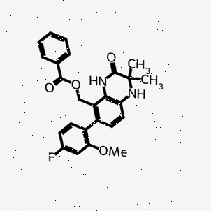 COc1cc(F)ccc1-c1ccc2c(c1COC(=O)c1ccccc1)NC(=O)C(C)(C)N2